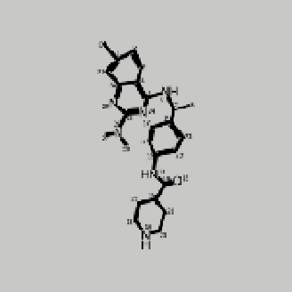 Cc1ccc2c(N[C@@H](C)c3ccc(NC(=O)C4CCNCC4)cc3)nc(N(C)C)nc2c1